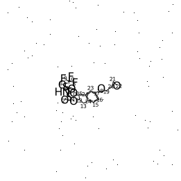 O=S(=O)(NS(=O)(=O)C(F)(F)F)OC1Cc2ccc(OCC3CO3)cc2C1